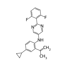 C=C(C)c1cc(C2CC2)ccc1Nc1cnc(-c2c(F)cccc2F)nc1